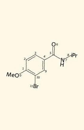 COc1ccc(C(=O)NC(C)C)cc1Br